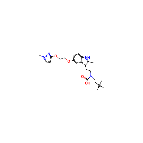 Cc1[nH]c2ccc(OCCOc3ccn(C)n3)cc2c1CCN(CC[Si](C)(C)C)C(=O)O